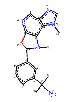 CN1c2c(ncc3ncn(C)c23)OC1c1cccc(C(C)(C)N)c1